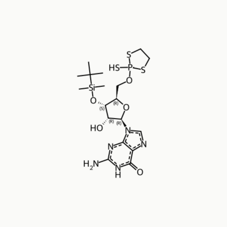 CC(C)(C)[Si](C)(C)O[C@H]1[C@@H](O)[C@H](n2cnc3c(=O)[nH]c(N)nc32)O[C@@H]1CO[P]1(S)SCCS1